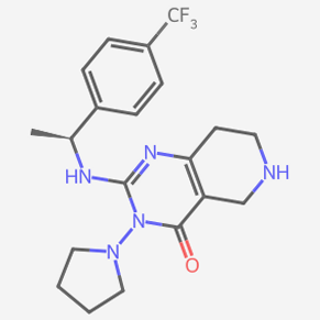 C[C@H](Nc1nc2c(c(=O)n1N1CCCC1)CNCC2)c1ccc(C(F)(F)F)cc1